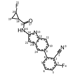 N#Cc1c(F)cccc1-c1ccc2nc(NC(=O)C3CC3F)cn2c1